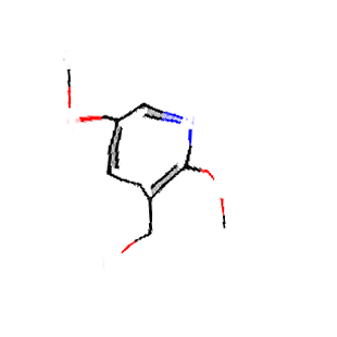 COc1cnc(OC)c(CO)c1